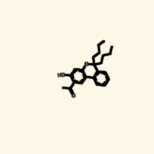 CCCCC1(CCCC)Oc2cc(O)c(C(C)=O)cc2-c2ccccc21